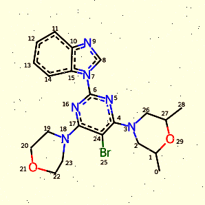 CC1CN(c2nc(-n3cnc4ccccc43)nc(N3CCOCC3)c2Br)CC(C)O1